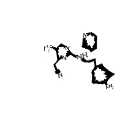 Cc1cnc(NCCc2ccc(N)cc2)nc1CC#N.c1ccncc1